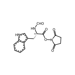 O=CN[C@@H](Cc1c[nH]c2ccccc12)C(=O)ON1C(=O)CCC1=O